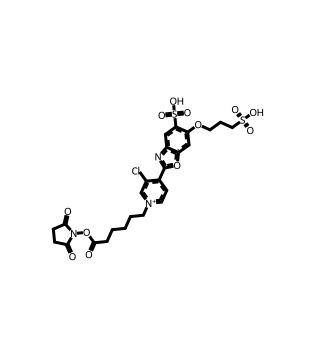 O=C(CCCCC[n+]1ccc(-c2nc3cc(S(=O)(=O)O)c(OCCCS(=O)(=O)O)cc3o2)c(Cl)c1)ON1C(=O)CCC1=O